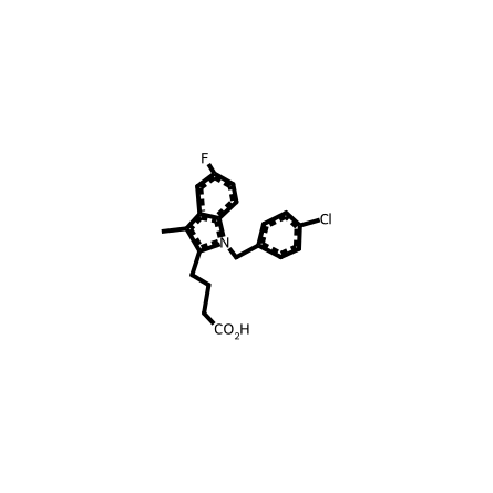 Cc1c(CCCC(=O)O)n(Cc2ccc(Cl)cc2)c2ccc(F)cc12